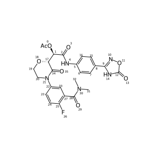 CC(=O)O[C@@H](C(=O)Nc1ccc(-c2noc(=O)[nH]2)cc1)[C@H]1OCCN(c2ccc(F)c(C(=O)N(C)C)c2)C1=O